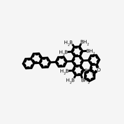 Bc1c(B)c(B)c2c(-c3cccc4oc5ccccc5c34)c3c(B)c(B)c(B)c(B)c3c(-c3ccc(-c4ccc5c(ccc6ccccc65)c4)cc3)c2c1B